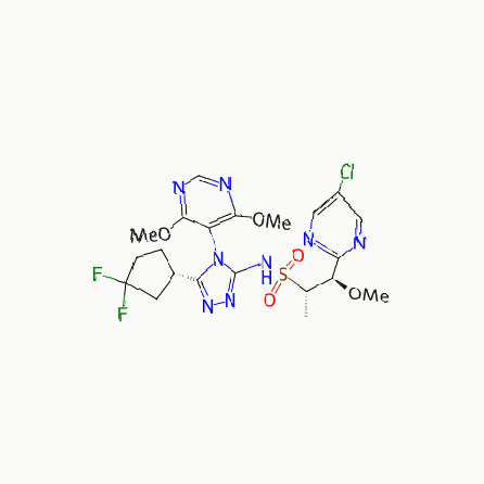 COc1ncnc(OC)c1-n1c(NS(=O)(=O)[C@@H](C)[C@H](OC)c2ncc(Cl)cn2)nnc1[C@H]1CCC(F)(F)C1